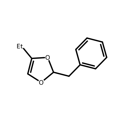 [CH2]CC1=COC(Cc2ccccc2)O1